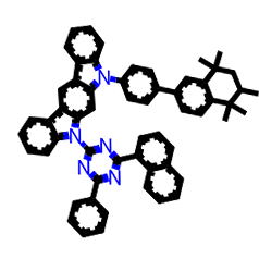 CC1CC(C)(C)c2cc(-c3ccc(-n4c5ccccc5c5cc6c7ccccc7n(-c7nc(-c8ccccc8)nc(-c8cccc9ccccc89)n7)c6cc54)cc3)ccc2C1(C)C